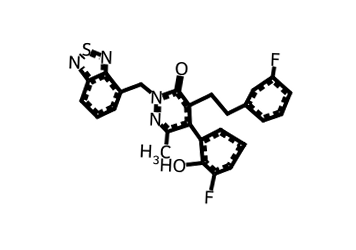 Cc1nn(Cc2cccc3nsnc23)c(=O)c(CCc2cccc(F)c2)c1-c1cccc(F)c1O